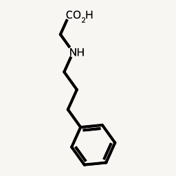 O=C(O)CNCCCc1ccccc1